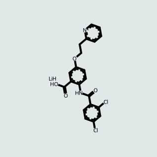 O=C(Nc1ccc(OCCc2ccccn2)cc1C(=O)O)c1ccc(Cl)cc1Cl.[LiH]